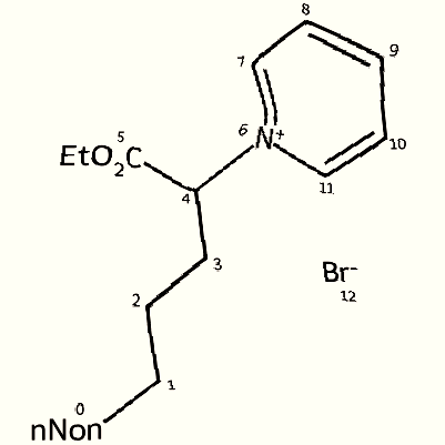 CCCCCCCCCCCCC(C(=O)OCC)[n+]1ccccc1.[Br-]